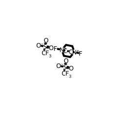 F[N+]12CC[N+](F)(CC1)CC2.O=S(=O)([O-])C(F)(F)F.O=S(=O)([O-])C(F)(F)F